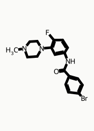 CN1CCN(c2cc(NC(=O)c3ccc(Br)cc3)ccc2F)CC1